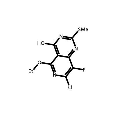 CCOc1nc(Cl)c(F)c2nc(SC)nc(O)c12